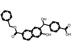 O=C(O)c1ccc(C(O)c2cc3cc(C(=O)OCc4ccccc4)ccc3cc2O)cc1